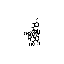 CCc1ccc(F)c([C@@H](C)[C@H](NS(=O)(=O)c2ccc(Cl)c3c2OCCC3O)c2n[nH]c(=O)o2)c1C